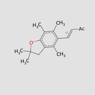 CC(=O)/C=C/c1c(C)c(C)c2c(c1C)CC(C)(C)O2